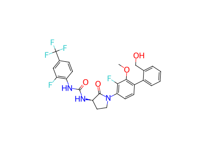 COc1c(-c2ccccc2CO)ccc(N2CC[C@@H](NC(=O)Nc3ccc(C(F)(F)F)cc3F)C2=O)c1F